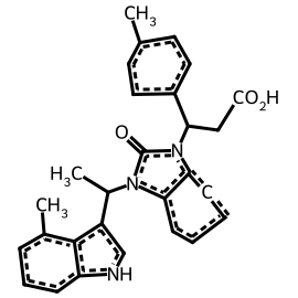 Cc1ccc(C(CC(=O)O)n2c(=O)n(C(C)c3c[nH]c4cccc(C)c34)c3ccccc32)cc1